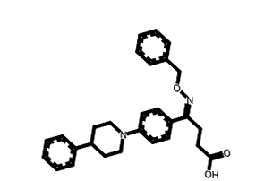 O=C(O)CC/C(=N/OCc1ccccc1)c1ccc(N2CCC(c3ccccc3)CC2)cc1